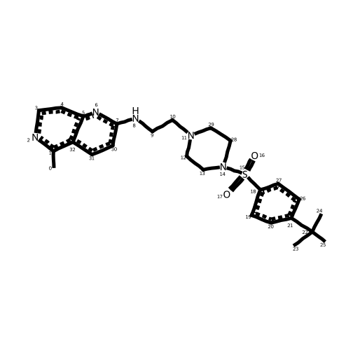 Cc1nccc2nc(NCCN3CCN(S(=O)(=O)c4ccc(C(C)(C)C)cc4)CC3)ccc12